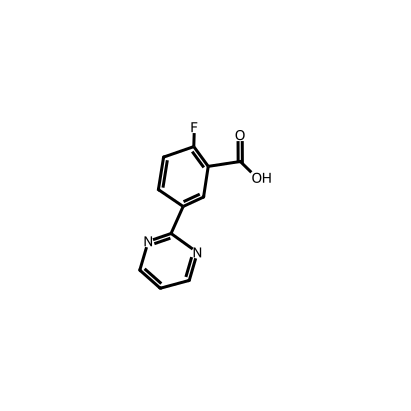 O=C(O)c1cc(-c2ncccn2)ccc1F